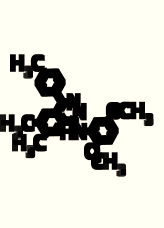 COc1ccc(OC)c(Nc2nnc(-c3ccc(C)cc3)c3cc(C)c(C)cc23)c1